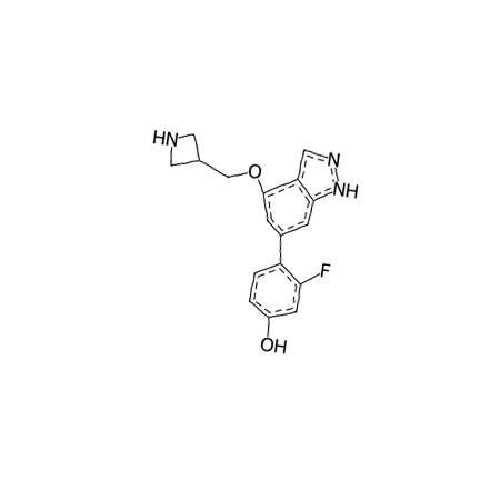 Oc1ccc(-c2cc(OCC3CNC3)c3cn[nH]c3c2)c(F)c1